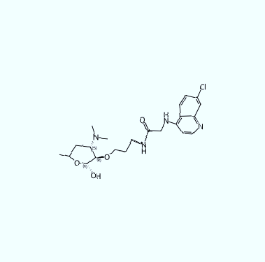 CC1C[C@H](N(C)C)[C@@H](OCCCNC(=O)CNc2ccnc3cc(Cl)ccc23)[C@H](O)O1